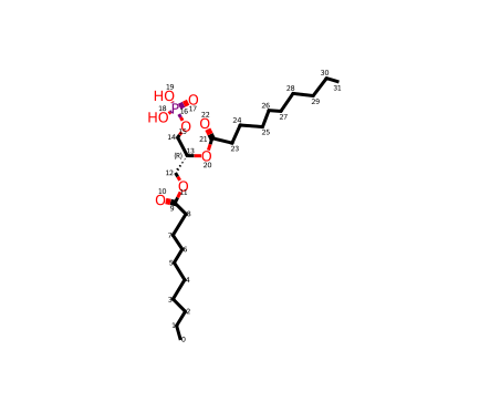 CCCCCCCCCC(=O)OC[C@H](COP(=O)(O)O)OC(=O)CCCCCCCCC